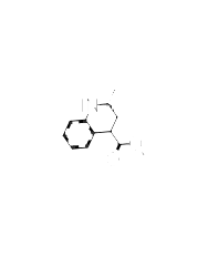 COC(=O)C1C[C@H](C)Nc2ccccc21